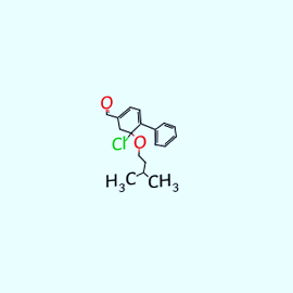 CC(C)CCOC1(Cl)CC(C=O)=CC=C1c1ccccc1